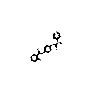 CN(C(=S)Nc1ccc(NC(=O)c2ccccc2F)cc1)c1ccncc1